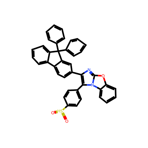 O=[SH](=O)c1ccc(-c2c(-c3ccc4c(c3)C(c3ccccc3)(c3ccccc3)c3ccccc3-4)nc3oc4ccccc4n23)cc1